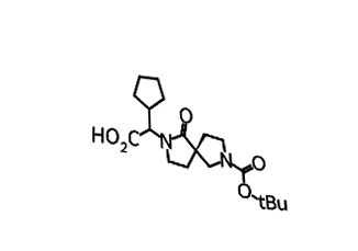 CC(C)(C)OC(=O)N1CC[C@]2(CCN(C(C(=O)O)C3CCCC3)C2=O)C1